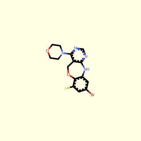 Fc1cc(Br)cc2c1OCc1c(ncnc1N1CCOCC1)N2